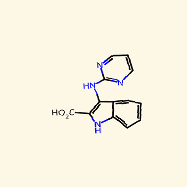 O=C(O)c1[nH]c2ccccc2c1Nc1ncccn1